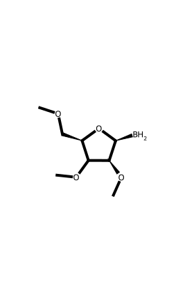 B[C@@H]1O[C@H](COC)C(OC)[C@@H]1OC